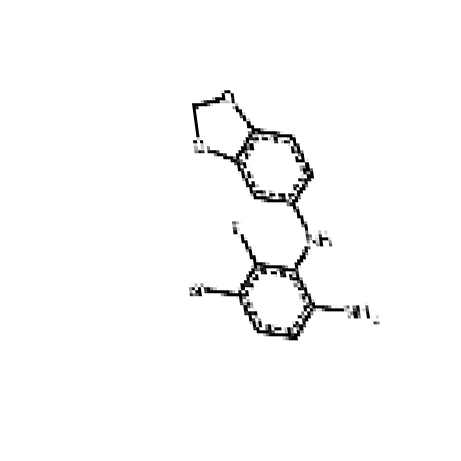 Nc1ccc(Br)c(F)c1Nc1ccc2c(c1)OCO2